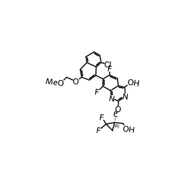 COCOc1cc(-c2c(F)cc3c(O)nc(OC[C@]4(CO)CC4(F)F)nc3c2F)c2c(Cl)cccc2c1